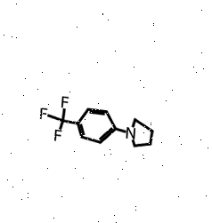 FC(F)(F)c1ccc(N2CCCC2)cc1